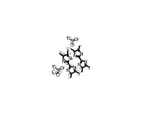 CC1=NC(C2=NC(C)C(C)=N2)=NC1C.CC1=NC(C2=NC(C)C(C)=N2)=NC1C.O=[N+]([O-])[O-].O=[N+]([O-])[O-].[Cu+2]